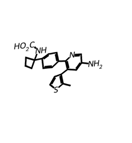 Cc1sccc1-c1cc(N)cnc1-c1ccc(C2(NC(=O)O)CCC2)cc1